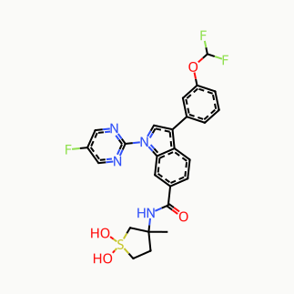 CC1(NC(=O)c2ccc3c(-c4cccc(OC(F)F)c4)cn(-c4ncc(F)cn4)c3c2)CCS(O)(O)C1